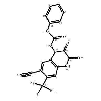 N#Cc1cc2c(cc1C(F)(F)F)[nH]c(=O)c(=O)n2OC(=O)Oc1ccccc1